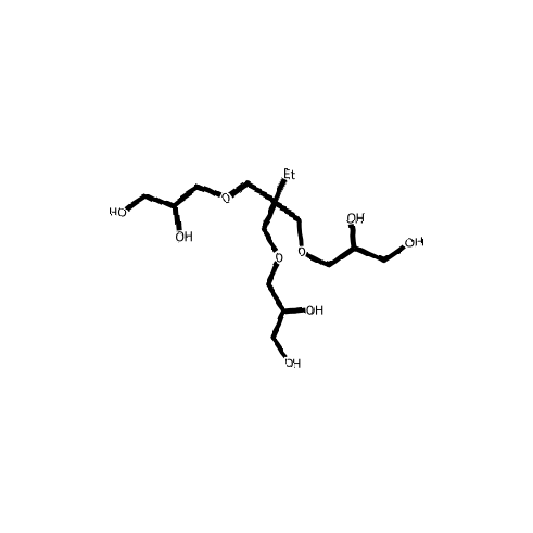 CCC(COCC(O)CO)(COCC(O)CO)COCC(O)CO